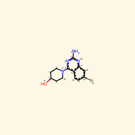 Nc1nc(N2CCC(O)CC2)c2ccc(Br)cc2n1